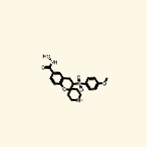 COc1ccc(S(=O)(=O)C2Cc3cc(C(=O)NO)ccc3OC23CCNCC3)cc1